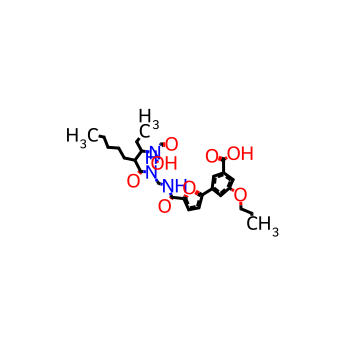 CCCCCC(C(=O)NCNC(=O)c1ccc(-c2cc(OCCC)cc(C(=O)O)c2)o1)C(CC)N(O)C=O